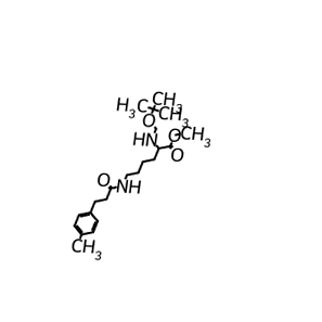 COC(=O)C(CCCCNC(=O)CCc1ccc(C)cc1)NCOC(C)(C)C